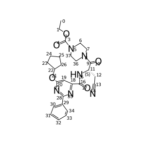 CCOC(=O)N1CCN(C(=O)[C@H](CC#N)NC(=O)c2cc(OC3CCCC3)nc(-c3ccccc3)n2)CC1